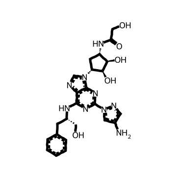 Nc1cnn(-c2nc(N[C@H](CO)Cc3ccccc3)c3ncn([C@@H]4C[C@H](NC(=O)CO)[C@@H](O)[C@H]4O)c3n2)c1